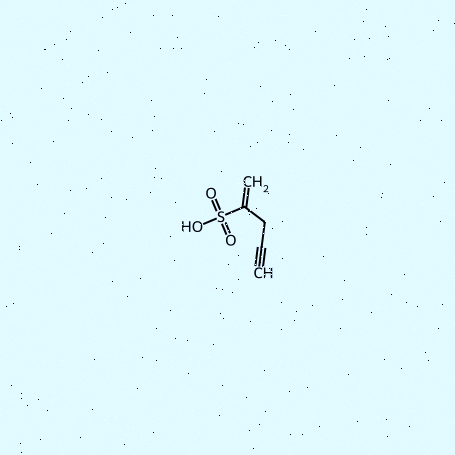 C#CCC(=C)S(=O)(=O)O